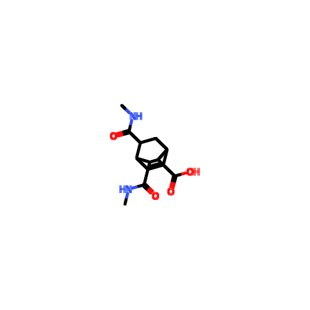 CNC(=O)C1CC2C=CC1C(C(=O)NC)C2C(=O)O